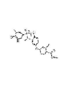 COC(=O)c1ccc(Oc2ccc(Cl)c(C(C)C(O)(c3c[nH]c(=O)c(C)c3)C(F)(F)F)c2)cc1F